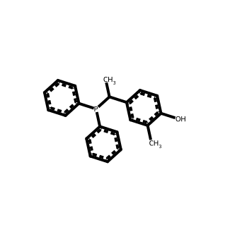 Cc1cc(C(C)P(c2ccccc2)c2ccccc2)ccc1O